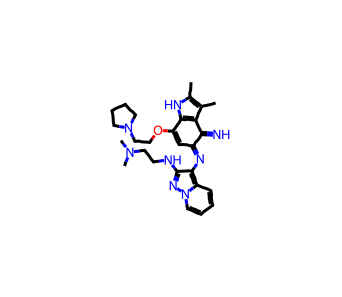 Cc1[nH]c2c(c1C)C(=N)C(=Nc1c(NCCN(C)C)nn3ccccc13)C=C2OCCN1CCCC1